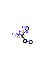 NC(=O)Nc1cc(-c2cccc(N3CCCCC3)c2)sc1C(=O)N[C@H]1CCCNC1